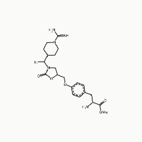 CCC(C1CCN(C(=N)N)CC1)N1CC(COc2ccc(CC(N)C(=O)OC)cc2)OC1=O